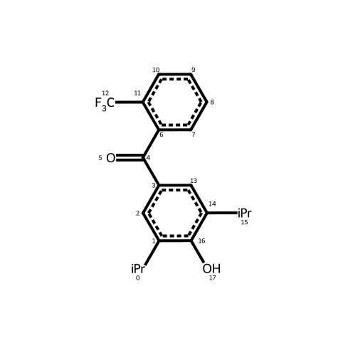 CC(C)c1cc(C(=O)c2ccccc2C(F)(F)F)cc(C(C)C)c1O